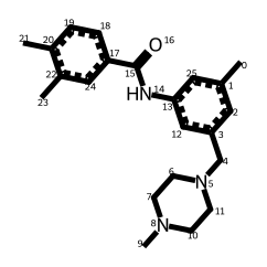 Cc1cc(CN2CCN(C)CC2)cc(NC(=O)c2ccc(C)c(C)c2)c1